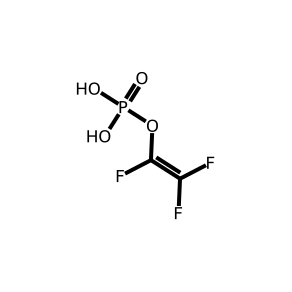 O=P(O)(O)OC(F)=C(F)F